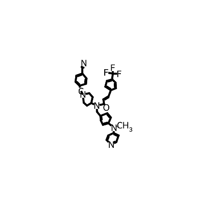 CN(c1ccncc1)c1ccc(CN(C(=O)C=Cc2ccc(C(F)(F)F)cc2)C2CCN(Cc3ccc(C#N)cc3)CC2)cc1